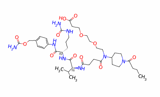 CCCC(=O)N1CCC(N(CCOCCOCCC(=O)O)C(=O)CCC(=O)N[C@H](C(=O)N[C@@H](CCCNC(N)=O)C(=O)Nc2ccc(COC(N)=O)cc2)C(C)C)CC1